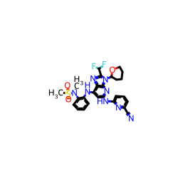 CN(c1ccccc1Nc1cc(Nc2cccc(C#N)n2)nc2c1nc(C(F)F)n2C1CCCCO1)S(C)(=O)=O